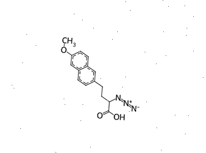 COc1ccc2cc(CCC(N=[N+]=[N-])C(=O)O)ccc2c1